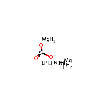 O=[Si]([O-])[O-].[Li+].[Li+].[MgH2].[MgH2].[NaH].[NaH]